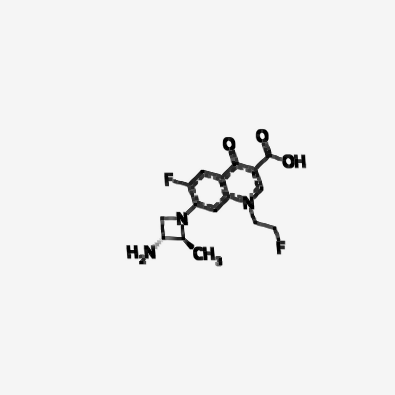 C[C@H]1[C@H](N)CN1c1cc2c(cc1F)c(=O)c(C(=O)O)cn2CCF